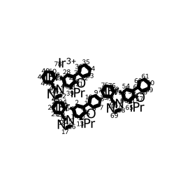 CC(C)c1cc2c(oc3ccccc32)c(C(C)C)c1-n1ccnc1-c1ccccc1.CC(C)c1cc2c(oc3ccccc32)c(C(C)C)c1-n1ccnc1-c1ccccc1.CC(C)c1cc2c(oc3ccccc32)c(C(C)C)c1-n1ccnc1-c1ccccc1.[Ir+3]